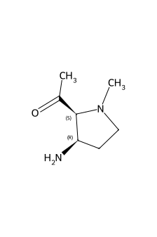 CC(=O)[C@@H]1[C@H](N)CCN1C